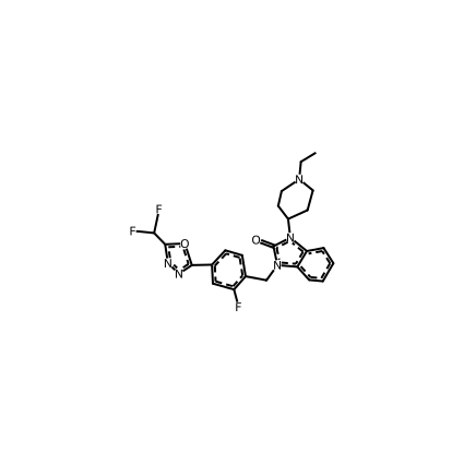 CCN1CCC(n2c(=O)n(Cc3ccc(-c4nnc(C(F)F)o4)cc3F)c3ccccc32)CC1